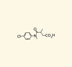 CC(CC(=O)O)C(=O)N(C)c1ccc(Cl)cc1